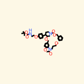 COCCCN1C(=O)COc2ccc(COC3CN(C(=O)OCc4ccccc4)CCC3c3ccc(OCCNC(=O)OC(C)(C)C)cc3)cc21